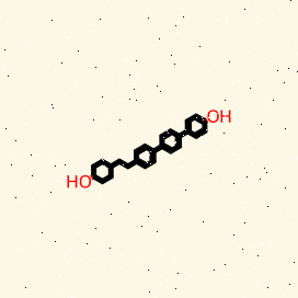 Oc1ccc(-c2ccc(-c3ccc(CCC4CCC(O)CC4)cc3)cc2)cc1